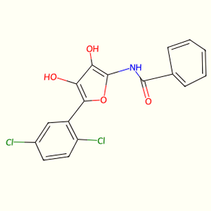 O=C(Nc1oc(-c2cc(Cl)ccc2Cl)c(O)c1O)c1ccccc1